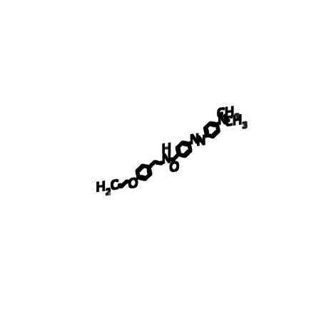 C=CCOc1ccc(CCNC(=O)c2ccc(/N=N/c3ccc(N(C)C)cc3)cc2)cc1